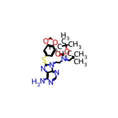 CC(C)(C)CN(CCn1c(Sc2ccc3c(c2)OCO3)nc2c(N)ncnc21)C(=O)OC(C)(C)C